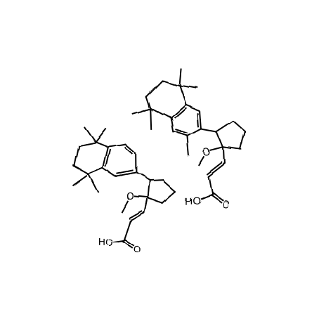 COC1(C=CC(=O)O)CCCC1c1cc2c(cc1C)C(C)(C)CCC2(C)C.COC1(C=CC(=O)O)CCCC1c1ccc2c(c1)C(C)(C)CCC2(C)C